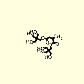 C=C(CC(=O)OCC(CO)(CO)CO)C(=O)OCC(CO)(CO)CO